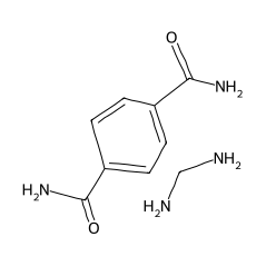 NC(=O)c1ccc(C(N)=O)cc1.NCN